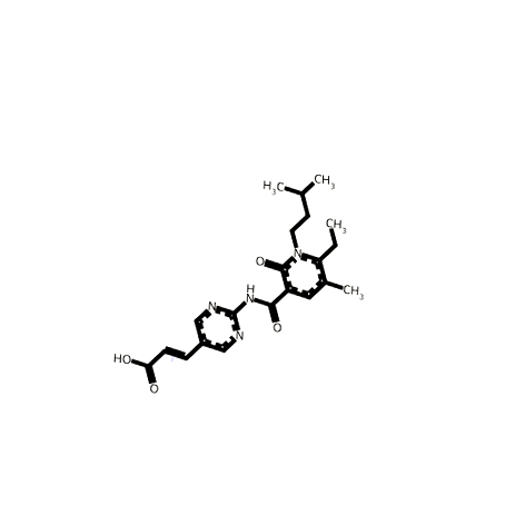 CCc1c(C)cc(C(=O)Nc2ncc(/C=C/C(=O)O)cn2)c(=O)n1CCC(C)C